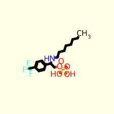 CCCCCCCC(=O)NC(COP(=O)(O)O)c1ccc(C(F)(F)F)cc1